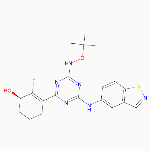 CC(C)(C)ONc1nc(Nc2ccc3sncc3c2)nc(C2=C(F)[C@H](O)CCC2)n1